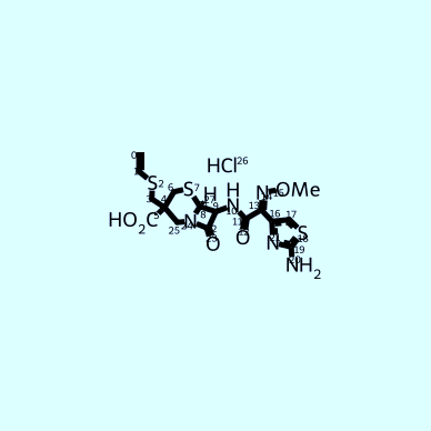 C=CSCC1(C(=O)O)CS[C@@H]2C(NC(=O)C(=NOC)c3csc(N)n3)C(=O)N2C1.Cl